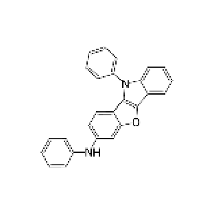 c1ccc(Nc2ccc3c(c2)oc2c4ccccc4n(-c4ccccc4)c32)cc1